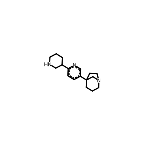 c1cc(C2CCCNC2)ncc1C12CCCN(CC1)C2